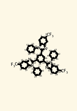 FC(F)(F)c1ccc2c(c1)nc(-c1cc(-c3nc4cc(C(F)(F)F)ccc4n3-c3ccccc3)cc(-c3nc4ccc(C(F)(F)F)cc4n3-c3ccccc3)c1)n2-c1ccccc1